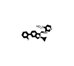 O=C(O)c1ccncc1NC[C@@H]1c2ccc(-c3ccccc3F)cc2CN1C1CC1